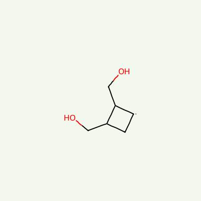 OCC1[CH]CC1CO